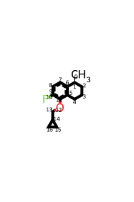 C[C@@H]1CCCc2c1ccc(F)c2OCC1CC1